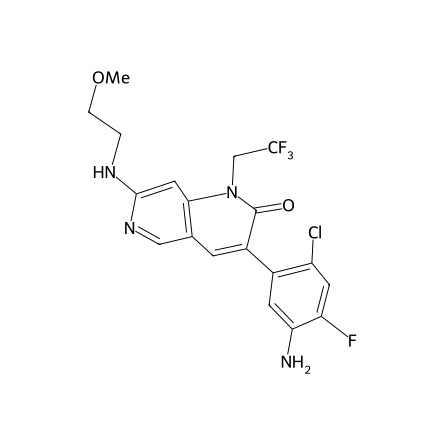 COCCNc1cc2c(cn1)cc(-c1cc(N)c(F)cc1Cl)c(=O)n2CC(F)(F)F